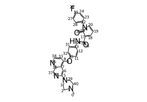 CN1CCN(c2cc3c(Oc4ccc(NC(=O)c5cccn(-c6ccc(F)cc6)c5=O)cc4)ccnc3cn2)CC1